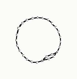 C1CCCCCCCCCCN2CCN(CCCCCCCCCC1)CC2